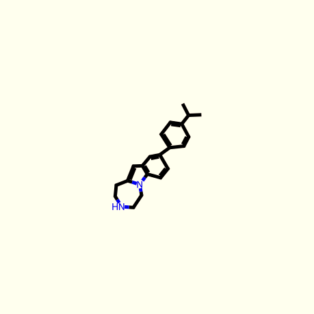 CC(C)c1ccc(-c2ccc3c(c2)cc2n3CCNCC2)cc1